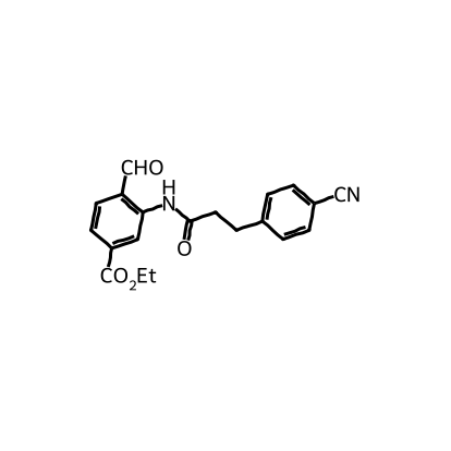 CCOC(=O)c1ccc(C=O)c(NC(=O)CCc2ccc(C#N)cc2)c1